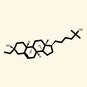 CC[C@]1(O)CC[C@H]2C(=CC[C@@H]3[C@@H]2CC[C@]2(C)[C@@H](CCCCC(C)(C)O)CC[C@@H]32)C1